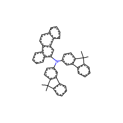 CC1(C)c2ccccc2-c2cc(N(c3ccc4c(c3)-c3ccccc3C4(C)C)c3cc4c5ccccc5ccc4c4ccccc34)ccc21